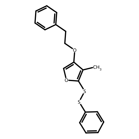 Cc1c(OCCc2ccccc2)coc1SSc1ccccc1